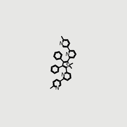 Cc1ccc(-c2cccc(C3=C(c4ccccc4)C(c4ccccc4)=C(c4cccc(-c5ccc(C)nc5)n4)[Si]3(C)C)n2)cn1